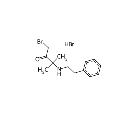 Br.CC(C)(NCCc1ccccc1)C(=O)CBr